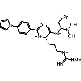 CNC(=N)NCCC[C@H](NC(=O)c1ccc(-n2cccc2)cc1)C(=O)N[C@@H](CC(C)C)B(O)O